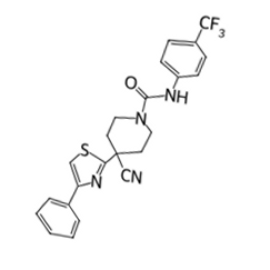 N#CC1(c2nc(-c3ccccc3)cs2)CCN(C(=O)Nc2ccc(C(F)(F)F)cc2)CC1